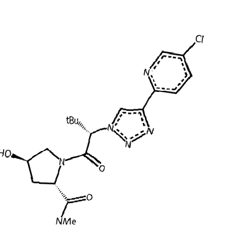 CNC(=O)[C@@H]1C[C@@H](O)CN1C(=O)[C@@H](n1cc(-c2ccc(Cl)cn2)nn1)C(C)(C)C